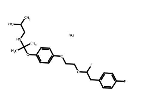 CC(O)CNC(C)(C)Oc1ccc(OCCOC(F)Cc2ccc(F)cc2)cc1.Cl